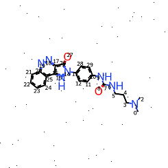 CN(C)CCCNC(=O)Nc1ccc(-n2[nH]c3c(nnc4ccccc43)c2=O)cc1